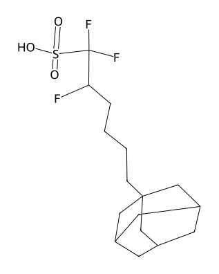 O=S(=O)(O)C(F)(F)C(F)CCCCC12CC3CC(CC(C3)C1)C2